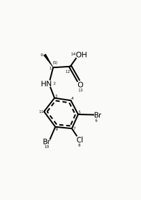 C[C@H](Nc1cc(Br)c(Cl)c(Br)c1)C(=O)O